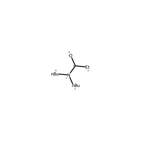 CCCCN(CCCC)C([O])CC